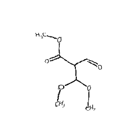 COC(=O)C(C=O)C(OC)OC